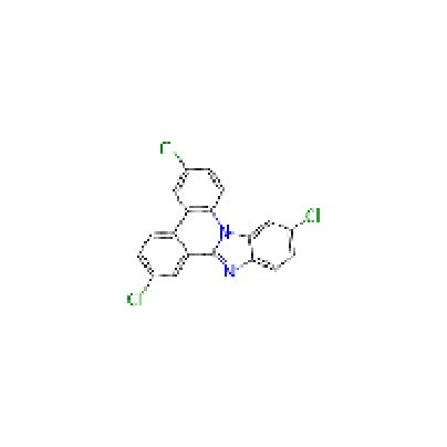 Clc1ccc2c(c1)c1ccc(Cl)cc1c1nc3ccc(Cl)cc3n21